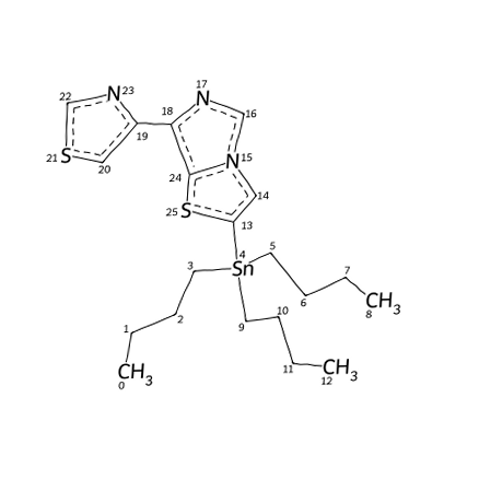 CCC[CH2][Sn]([CH2]CCC)([CH2]CCC)[c]1cn2cnc(-c3cscn3)c2s1